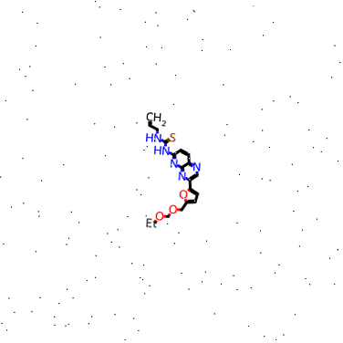 C=CCNC(=S)Nc1ccc2ncc(-c3ccc(COCOCC)o3)nc2n1